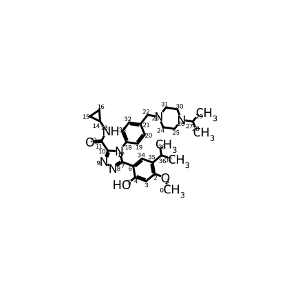 COc1cc(O)c(-c2nnc(C(=O)NC3CC3)n2-c2ccc(CN3CCN(C(C)C)CC3)cc2)cc1C(C)C